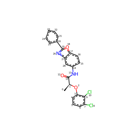 C[C@H](Oc1cccc(Cl)c1Cl)C(=O)Nc1ccc2oc(-c3ccccc3)nc2c1